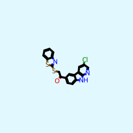 O=C(CSc1nc2ccccc2s1)c1ccc2[nH]c3ncc(Cl)cc3c2c1